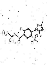 Cc1cn(-c2cc(F)c(C(=O)N=C(N)N)cc2S(C)(=O)=O)c(C)n1